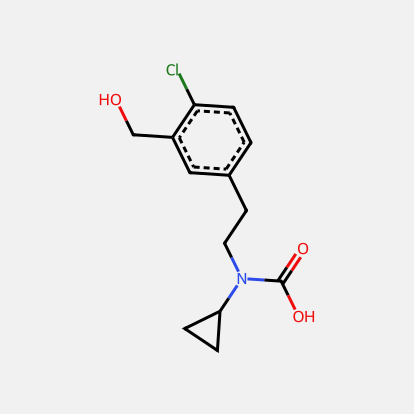 O=C(O)N(CCc1ccc(Cl)c(CO)c1)C1CC1